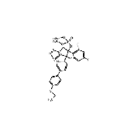 CCCCOP(=O)(OCCCC)OC(Cn1cnnn1)(c1ccc(F)cc1F)C(F)(F)c1ccc(-c2ccc(OCC(F)(F)F)cc2)cn1